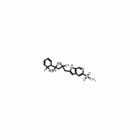 COC1(F)C=CC=CC1C(C)(C)CC(O)(Cc1cc2cc(S(C)(=O)=O)ncc2[nH]1)C(F)(F)F